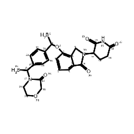 BC(Oc1cccc2c1CN(C1CCC(=O)NC1=O)C2=O)c1ccc(C(B)N2CCOCC2=O)cc1